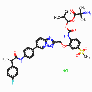 CC(C)C(OC(=O)Nc1ccc(S(C)(=O)=O)cc1OCc1nc2ccc(-c3ccc(NC(=O)[C@H](C)c4ccc(F)cc4)cc3)cn2n1)OC(=O)C(C)(C)N.Cl